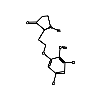 CCN1CCC(=O)C1CCOc1cc(Cl)cc(Cl)c1OC